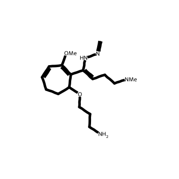 C=NN/C(=C\CCNC)C1=C(OC)C=CCCC1OCCCN